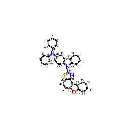 c1ccc(-n2c3ccccc3c3cc4c(cc32)c2ccccc2n4-c2nc3c(ccc4oc5ccccc5c43)s2)cc1